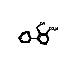 O=C(O)c1cccc(-c2ccccc2)c1CO